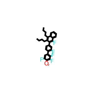 CCCCc1c(-c2ccc(-c3cc(F)c(OC)c(F)c3F)c(F)c2)c(F)c2ccccc2c1CCCC